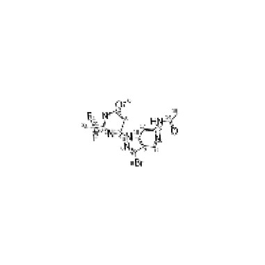 COc1cc(-n2nc(Br)c3cnc(NC(C)=O)cc32)nc(C(C)(F)F)n1